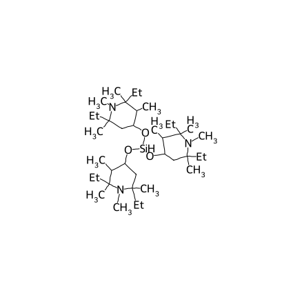 CCC1(C)CC(O[SiH](OC2CC(C)(CC)N(C)C(C)(CC)C2C)OC2CC(C)(CC)N(C)C(C)(CC)C2C)C(C)C(C)(CC)N1C